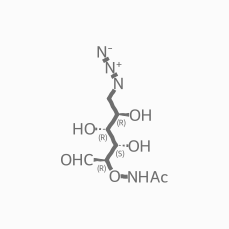 CC(=O)NO[C@@H](C=O)[C@@H](O)[C@H](O)[C@H](O)CN=[N+]=[N-]